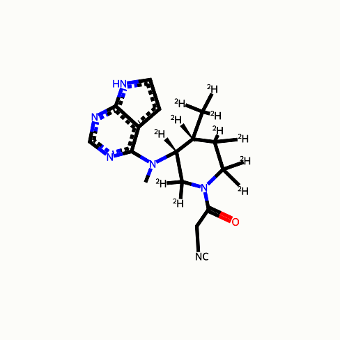 [2H]C1([2H])N(C(=O)C[N+]#[C-])C([2H])([2H])[C@]([2H])(N(C)c2ncnc3[nH]ccc23)[C@]([2H])(C([2H])([2H])[2H])C1([2H])[2H]